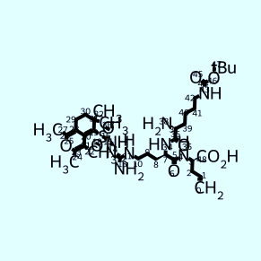 C=CC[C@H](NC(=O)[C@@H](CCCNC(N)=NNS(=O)(=O)C1=C2C(C)=C(C)OC(C)=C2CCC1(C)C)NC(=O)[C@H](N)CCCCNC(=O)OC(C)(C)C)C(=O)O